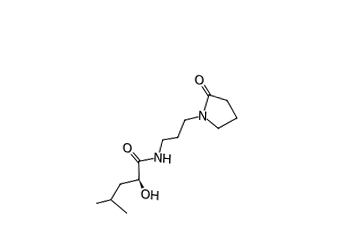 CC(C)C[C@H](O)C(=O)NCCCN1CCCC1=O